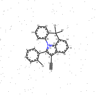 C#Cc1c(-c2ccccc2C)n2c3c(cccc13)C(C)(C)c1ccccc1-2